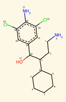 NCCC(C1CCCCC1)C(O)c1cc(Cl)c(N)c(Cl)c1